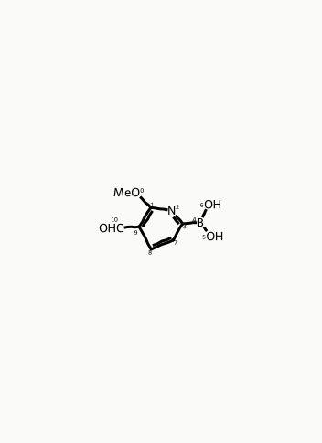 COc1nc(B(O)O)ccc1C=O